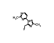 Cc1nccc(-n2nc(C)nc2CF)n1